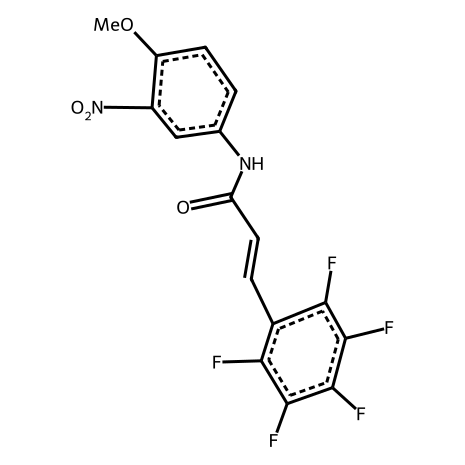 COc1ccc(NC(=O)C=Cc2c(F)c(F)c(F)c(F)c2F)cc1[N+](=O)[O-]